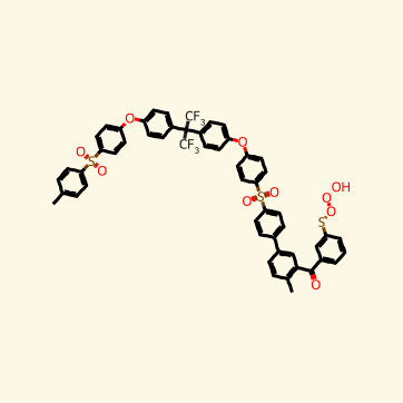 Cc1ccc(S(=O)(=O)c2ccc(Oc3ccc(C(c4ccc(Oc5ccc(S(=O)(=O)c6ccc(-c7ccc(C)c(C(=O)c8cccc(SOOO)c8)c7)cc6)cc5)cc4)(C(F)(F)F)C(F)(F)F)cc3)cc2)cc1